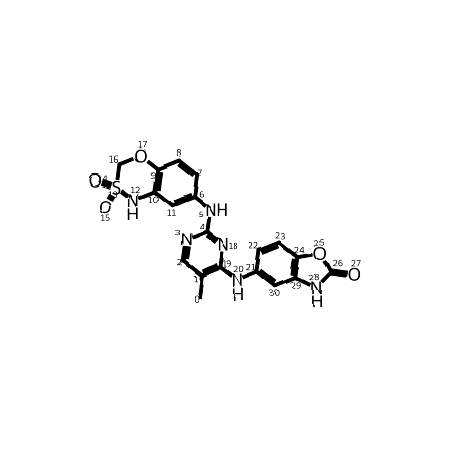 Cc1cnc(Nc2ccc3c(c2)NS(=O)(=O)CO3)nc1Nc1ccc2oc(=O)[nH]c2c1